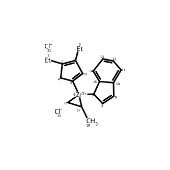 CCC1=C(CC)C[C]([Zr+2]2([CH]3C=Cc4ccccc43)[CH2][CH]2C)=C1.[Cl-].[Cl-]